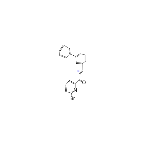 O=C(/C=C/c1cccc(-c2ccccc2)c1)c1cccc(Br)n1